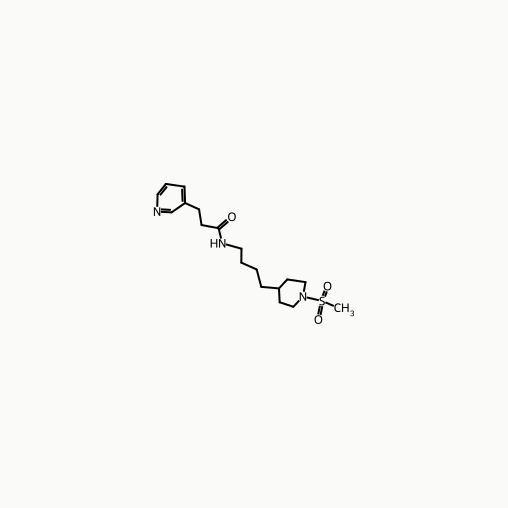 CS(=O)(=O)N1CCC(CCCCNC(=O)CCc2cccnc2)CC1